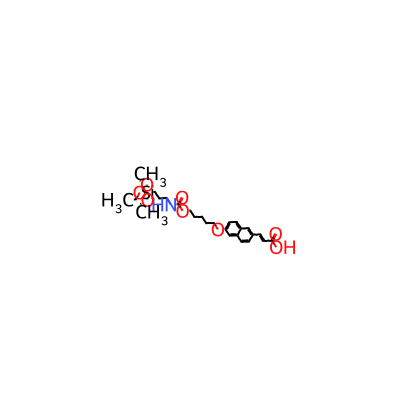 CCO[Si](CCCNC(=O)OCCCCCOc1ccc2cc(C=CC(=O)O)ccc2c1)(OCC)OCC